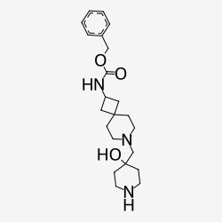 O=C(NC1CC2(CCN(CC3(O)CCNCC3)CC2)C1)OCc1ccccc1